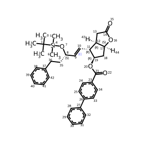 CC(C)(C)[Si](C)(C)O[C@H](/C=C/[C@@H]1[C@H]2CC(=O)O[C@H]2C[C@H]1OC(=O)c1ccc(-c2ccccc2)cc1)CCc1ccccc1